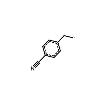 [CH2]Cc1ccc(C#N)cc1